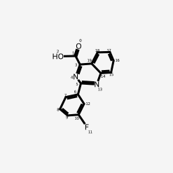 O=C(O)c1nc(-c2cccc(F)c2)nc2ccccc12